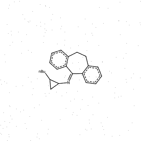 CCCCC1CC1N=C1c2ccccc2CCc2ccccc21